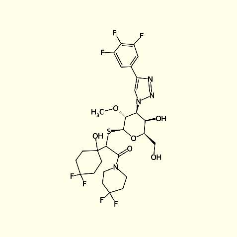 CO[C@@H]1[C@@H](n2cc(-c3cc(F)c(F)c(F)c3)nn2)[C@@H](O)[C@@H](CO)O[C@H]1SC(C(=O)N1CCC(F)(F)CC1)C1(O)CCC(F)(F)CC1